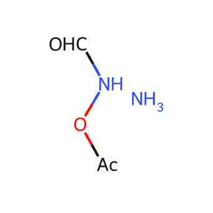 CC(=O)ONC=O.N